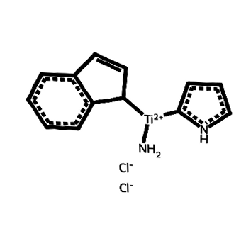 [Cl-].[Cl-].[NH2][Ti+2]([c]1ccc[nH]1)[CH]1C=Cc2ccccc21